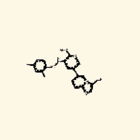 COc1ncc(-c2ccc3ncc(C#N)n3c2)cc1NSc1ccc(F)cc1F